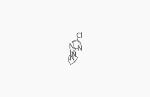 Clc1cnc(N2CC3CC(C2)N3)nc1